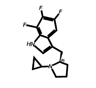 Fc1cc2c(C[C@H]3CCCN3C3CC3)c[nH]c2c(F)c1F